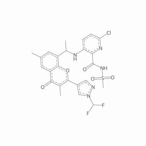 Cc1cc(C(C)Nc2ccc(Cl)nc2C(=O)NS(C)(=O)=O)c2oc(-c3cnn(C(F)F)c3)c(C)c(=O)c2c1